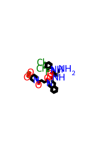 CS(=O)(=O)C1CCN(C(=O)CCC(=O)N2Cc3ccccc3C[C@H]2C(=O)N[C@@H](CCN)C(=O)Nc2ccc(Cl)c(Cl)c2F)CC1